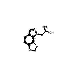 CC(N)Cn1ncc2ccc3c(c21)OCO3